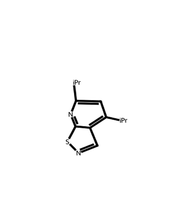 CC(C)c1cc(C(C)C)c2cnsc2n1